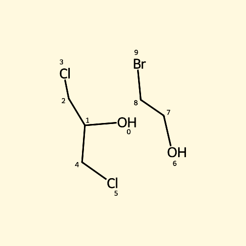 OC(CCl)CCl.OCCBr